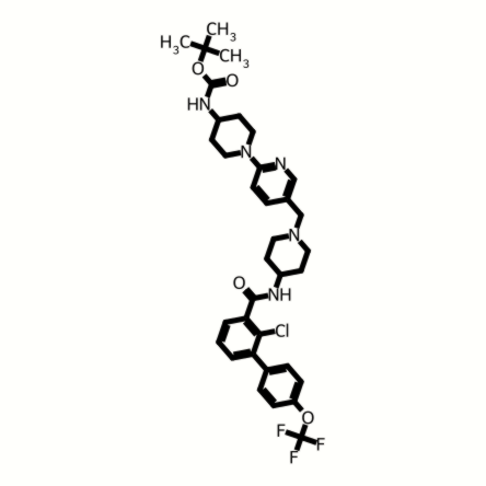 CC(C)(C)OC(=O)NC1CCN(c2ccc(CN3CCC(NC(=O)c4cccc(-c5ccc(OC(F)(F)F)cc5)c4Cl)CC3)cn2)CC1